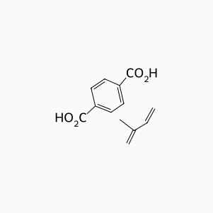 C=CC(=C)C.O=C(O)c1ccc(C(=O)O)cc1